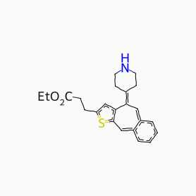 CCOC(=O)CCc1cc2c(s1)C=c1ccccc1=CC2=C1CCNCC1